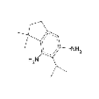 CC(C)c1c(N)cc2c(c1N)C(C)(C)CC2